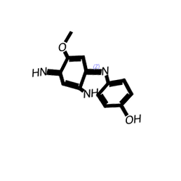 COC1=C/C(=N/c2ccc(O)cc2)C(N)=CC1=N